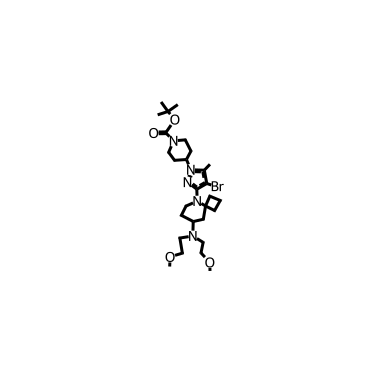 COCCN(CCOC)C1CCN(c2nn(C3CCN(C(=O)OC(C)(C)C)CC3)c(C)c2Br)C2(CCC2)C1